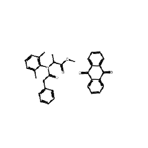 COC(=O)C(C)N(C(=O)Cc1ccccc1)c1c(C)cccc1C.O=C1c2ccccc2C(=O)c2ccccc21